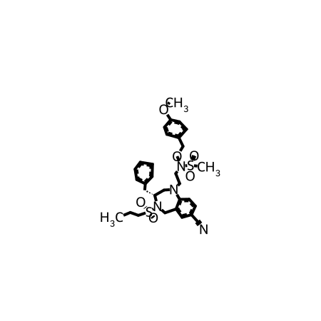 CCCS(=O)(=O)N1Cc2cc(C#N)ccc2N(CCN(OCc2ccc(OC)cc2)S(C)(=O)=O)C[C@H]1Cc1ccccc1